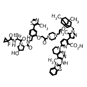 Cc1ncsc1-c1ccc(CNC(=O)[C@@H]2C[C@@H](O)CN2C(=O)[C@@H](NC(=O)C2(F)CC2)C(C)(C)C)c(OCC(=O)N2CCN(CCO[C@]34C[C@@]5(C)C[C@](C)(C[C@](Cn6ncc(-c7ccc(N8CCCc9c8nnc(Nc8nc%10ccccc%10s8)c9C)nc7C(=O)O)c6C)(C5)C3)C4)CC2)c1